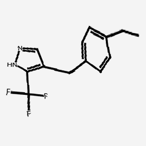 CCc1ccc(Cc2cn[nH]c2C(F)(F)F)cc1